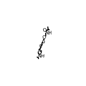 CC(C)NC1CCN(CCOCCOCCOCCNC(=O)C(C)C)CC1